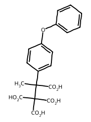 CC(C(=O)O)(c1ccc(Oc2ccccc2)cc1)C(C(=O)O)(C(=O)O)C(=O)O